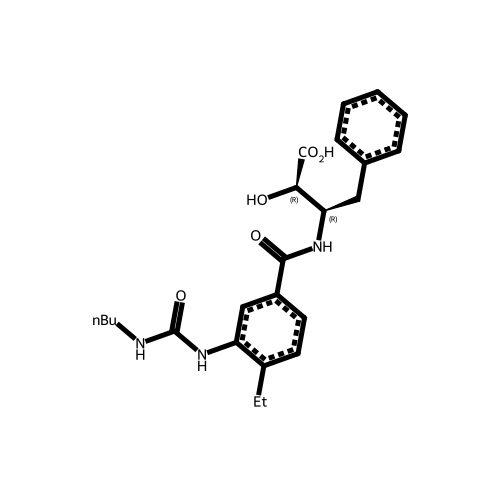 CCCCNC(=O)Nc1cc(C(=O)N[C@H](Cc2ccccc2)[C@@H](O)C(=O)O)ccc1CC